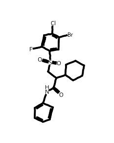 O=C(Nc1ccccc1)C(CS(=O)(=O)c1cc(Br)c(Cl)cc1F)C1CCCCC1